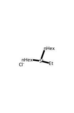 CCCCCC[S+](CC)CCCCCC.[Cl-]